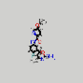 C[C@@]1(c2cc(NC(=O)c3ccc(OCC(F)(F)F)cn3)ccc2F)C[C@@H](C(F)(F)F)N=C(N)O1